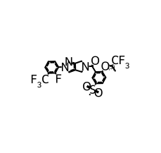 C[C@H](Oc1ccc(S(C)(=O)=O)cc1C(=O)N1Cc2cn(-c3cccc(C(F)(F)F)c3F)nc2C1)C(F)(F)F